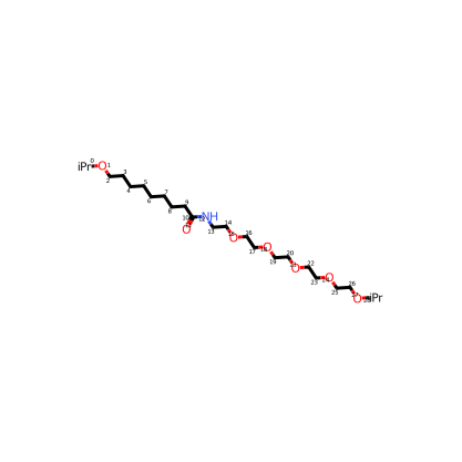 CC(C)OCCCCCCCCC(=O)NCCOCCOCCOCCOCCOC(C)C